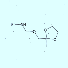 CCNCOCC1(C)OCCO1